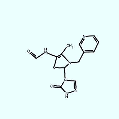 CC1=C(NC=O)SC(n2cn[nH]c2=O)N1Cc1cccnc1